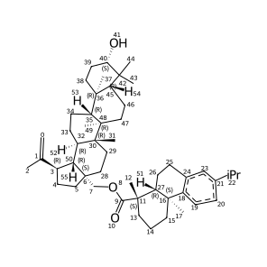 C=C(C)[C@@H]1CC[C@]2(COC(=O)[C@@]3(C)CCC[C@]4(C)c5ccc(C(C)C)cc5CC[C@@H]34)CC[C@]3(C)[C@H](CC[C@@H]4[C@@]5(C)CC[C@H](O)C(C)(C)[C@@H]5CC[C@]43C)[C@@H]12